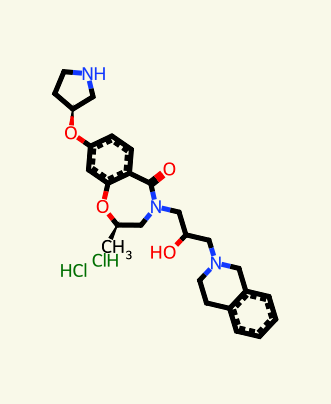 C[C@@H]1CN(CC(O)CN2CCc3ccccc3C2)C(=O)c2ccc(O[C@H]3CCNC3)cc2O1.Cl.Cl